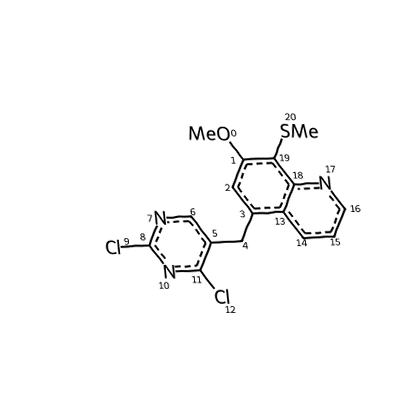 COc1cc(Cc2cnc(Cl)nc2Cl)c2cccnc2c1SC